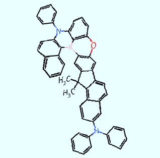 CC1(C)c2cc3c(cc2-c2ccc4cc(N(c5ccccc5)c5ccccc5)ccc4c21)Oc1cccc2c1B3c1c(ccc3ccccc13)N2c1ccccc1